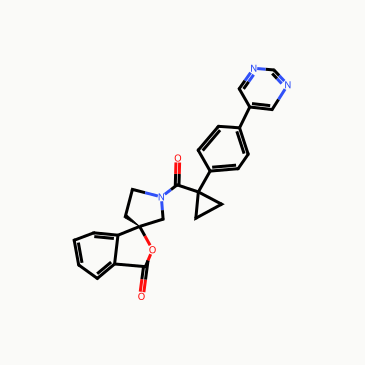 O=C1O[C@]2(CCN(C(=O)C3(c4ccc(-c5cncnc5)cc4)CC3)C2)c2ccccc21